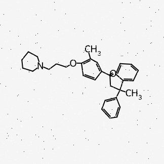 Cc1cc(C(=O)CC(C)(c2ccccc2)c2ccccc2)ccc1OCCCN1CCCCC1